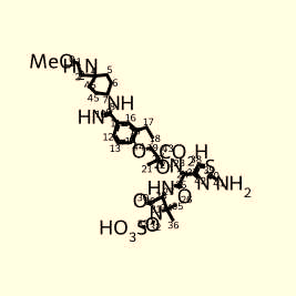 COCCC1(N)CCC(NC(=N)c2ccc3c(c2)CC[C@H]([C@](C)(O/N=C(\C(=O)N[C@@H]2C(=O)N(OS(=O)(=O)O)C2(C)C)c2csc(N)n2)C(=O)O)O3)CC1